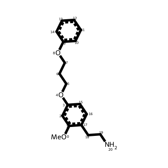 COc1cc(OCCCOc2ccccc2)ccc1CCN